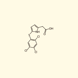 O=C(O)Cc1ccc(Sc2cc(Cl)c(Cl)cc2Cl)[nH]1